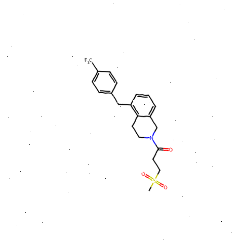 CS(=O)(=O)CCC(=O)N1CCc2c(Cc3ccc(C(F)(F)F)cc3)cccc2C1